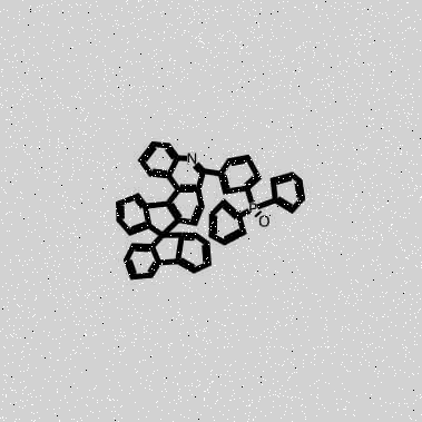 O=P(c1ccccc1)(c1ccccc1)c1cccc(-c2nc3ccccc3c3c4c(ccc23)C2(c3ccccc3-c3ccccc32)c2ccccc2-4)c1